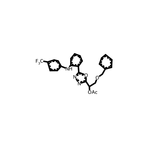 CC(=O)OC(COCc1ccccc1)c1nnc(-c2ccccc2Nc2ccc(C(F)(F)F)cc2)o1